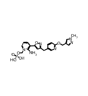 Cn1cc(COc2ccc(Cc3cc(-c4ccc[n+](COP(=O)(O)O)c4N)on3)cn2)cn1